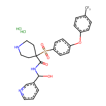 Cl.Cl.O=C(NC(O)c1cccnc1)C1(S(=O)(=O)c2ccc(Oc3ccc(C(F)(F)F)cc3)cc2)CCNCC1